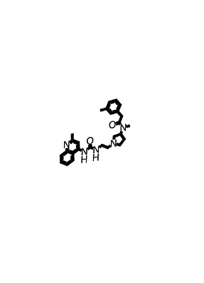 Cc1cccc(CC(=O)N(C)C2CCN(CCNC(=O)Nc3cc(C)nc4ccccc34)C2)c1